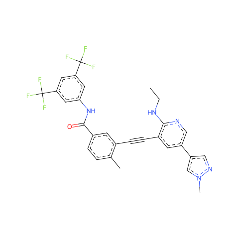 CCNc1ncc(-c2cnn(C)c2)cc1C#Cc1cc(C(=O)Nc2cc(C(F)(F)F)cc(C(F)(F)F)c2)ccc1C